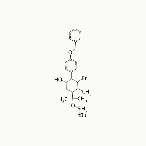 CCC1C(C)C(C(C)(C)O[SiH2]C(C)(C)C)CC(O)C1c1ccc(OCc2ccccc2)cc1